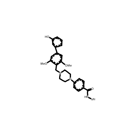 CCCNC(=O)c1ccc(N2CCN(Cc3c(OC)cc(-c4cccc(O)c4)cc3OC)CC2)cc1